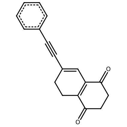 O=C1CCC(=O)C2=C1C=C(C#Cc1ccccc1)CC2